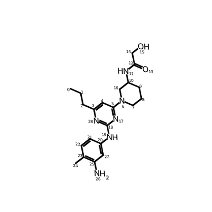 CCCc1cc(N2CCCC(NC(=O)CO)C2)nc(Nc2ccc(C)c(N)c2)n1